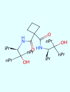 CCCC(O)(CCC)[C@H](NC(=O)C1(C(=O)N[C@H](C(C)C)C(O)(CCC)CCC)CCC1)C(C)C